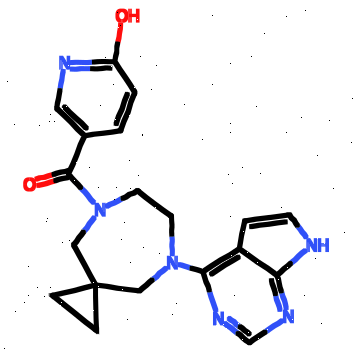 O=C(c1ccc(O)nc1)N1CCN(c2ncnc3[nH]ccc23)CC2(CC2)C1